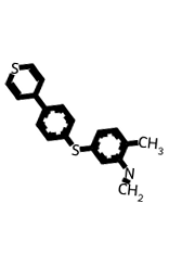 C=Nc1cc(Sc2ccc(C3C=CSC=C3)cc2)ccc1C